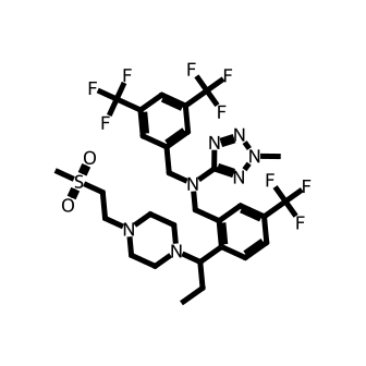 CCC(c1ccc(C(F)(F)F)cc1CN(Cc1cc(C(F)(F)F)cc(C(F)(F)F)c1)c1nnn(C)n1)N1CCN(CCS(C)(=O)=O)CC1